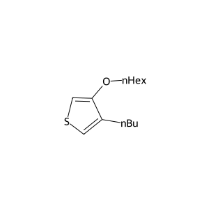 CCCCCCOc1cscc1CCCC